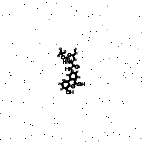 CCCC[C@H](NC(=O)OC(C)(C)C)C(=O)Nc1ccc(C(=O)O)c(-c2cccc(O)c2)c1